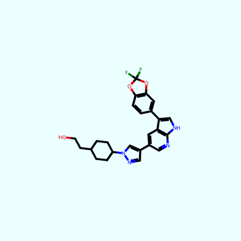 OCCC1CCC(n2cc(-c3cnc4[nH]cc(-c5ccc6c(c5)OC(F)(F)O6)c4c3)cn2)CC1